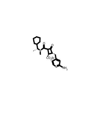 CCOC(=O)[C@H]1C(C(=O)N(C)[C@H](C)C2CCCCC2)C(=O)[C@@H]1Cc1ccnc(N)c1